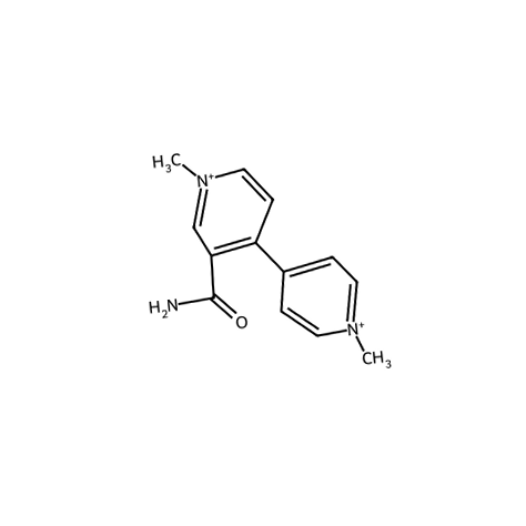 C[n+]1ccc(-c2cc[n+](C)cc2C(N)=O)cc1